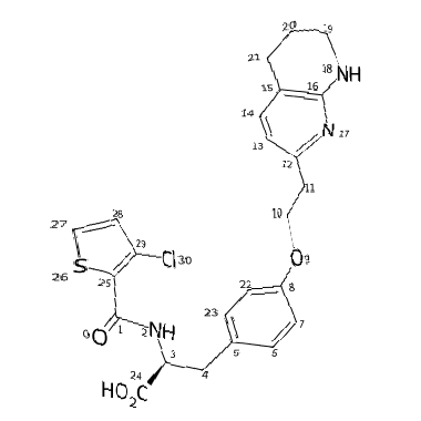 O=C(N[C@@H](Cc1ccc(OCCc2ccc3c(n2)NCCC3)cc1)C(=O)O)c1sccc1Cl